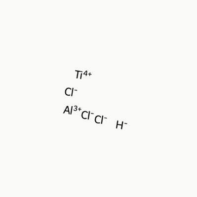 [Al+3].[Cl-].[Cl-].[Cl-].[H-].[Ti+4]